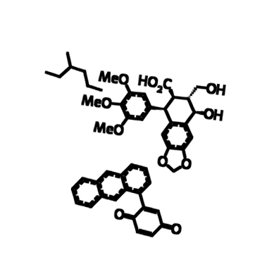 CCCC(C)CC.COc1cc([C@@H]2c3cc4c(cc3[C@H](O)[C@@H](CO)[C@@H]2C(=O)O)OCO4)cc(OC)c1OC.O=C1C=CC(=O)C(c2cccc3cc4ccccc4cc23)=C1